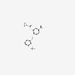 COC(=O)c1ccc(NCc2cccc3c2OC(F)(F)O3)c(NC(=O)C2CC2)c1